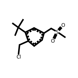 CC(C)(C)c1cc(CS(C)(=O)=O)ccc1CCl